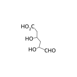 O=CC(O)CC(O)CC(=O)O